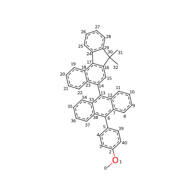 COc1ccc(-c2c3ccccc3c(-c3cc4c(c5ccccc35)-c3ccccc3C4(C)C)c3ccccc23)cc1